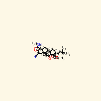 CC[C@@]1(C(=O)NC)C(=O)C(C#N)=C[C@]2(C)C3=CC(=O)[C@@]45OC(=O)[C@@](CCC(C)(C)C)(CC[C@@]4(C)[C@]3(C)CCC12)C5C